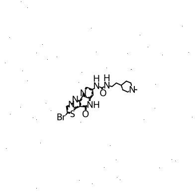 CN1CCC(CCNC(=O)Nc2cnc3c(c2)[nH]c(=O)c2c3nn3cc(Br)sc23)CC1